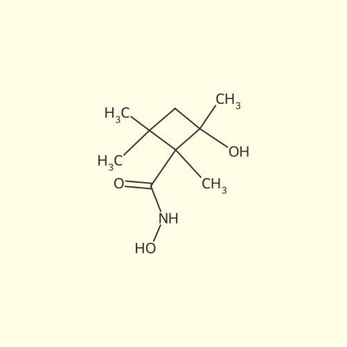 CC1(C)CC(C)(O)C1(C)C(=O)NO